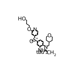 C=C(N(CC1CCOCC1)c1ccc([S+]([O-])c2ccnc(OCCCO)c2)cc1N)C(C)(C)C